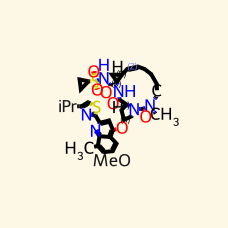 COc1ccc2c(O[C@@H]3C[C@H]4C(=O)N[C@]5(C(=O)NS(=O)(=O)C6CC6)C[C@@H]5/C=C\CCCCCN(C)C(=O)N4C3)cc(-c3nc(C(C)C)cs3)nc2c1C